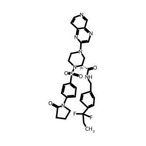 CCC(F)(F)c1ccc(CNC(=O)[C@H]2CN(c3cnc4cnccc4n3)CCN2S(=O)(=O)c2ccc(N3CCCC3=O)cc2)cc1